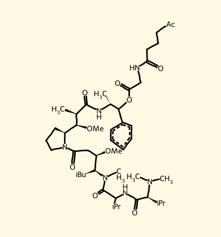 CC[C@H](C)[C@@H]([C@@H](CC(=O)N1CCC[C@H]1[C@H](OC)[C@@H](C)C(=O)N[C@H](C)C(OC(=O)CNC(=O)CCCC(C)=O)c1ccccc1)OC)N(C)C(=O)C(NC(=O)[C@H](C(C)C)N(C)C)C(C)C